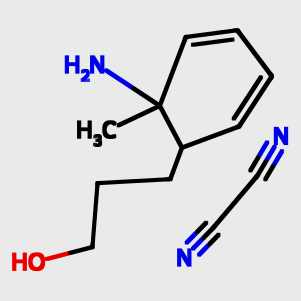 CC1(N)C=CC=CC1CCCO.N#CC#N